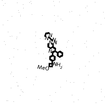 CO[C@H]1C[C@](N)(c2ccc(-c3nc4ccn5c(-c6ncccn6)nnc5c4cc3-c3ccccc3)cc2)C1